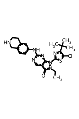 CCn1c(=O)c2cnc(Nc3ccc4c(c3)CCNC4)nc2n1-c1nc(C(C)(C)C)c(Cl)s1